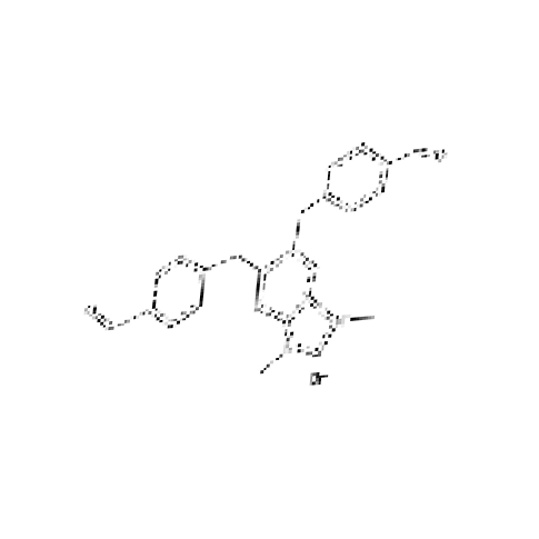 Cn1c[n+](C)c2cc(Cc3ccc(C=O)cc3)c(Cc3ccc(C=O)cc3)cc21.[Br-]